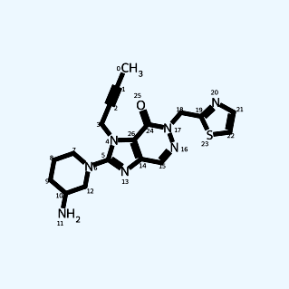 CC#CCn1c(N2CCCC(N)C2)nc2cnn(Cc3nccs3)c(=O)c21